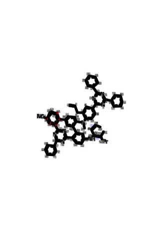 C=CCc1cc(-c2nc(-c3ccccc3)nc(-c3ccccc3)n2)ccc1N(C)c1ccc(-c2ccc(C#N)cc2)cc1-c1cc(NC(/C=C\C)=C(/C)C(C)C)ccc1-c1nc(-c2ccccc2)nc(-c2ccccc2)n1